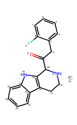 O=C(Cc1ccccc1F)C1NCCc2c1[nH]c1ccccc21.[C]